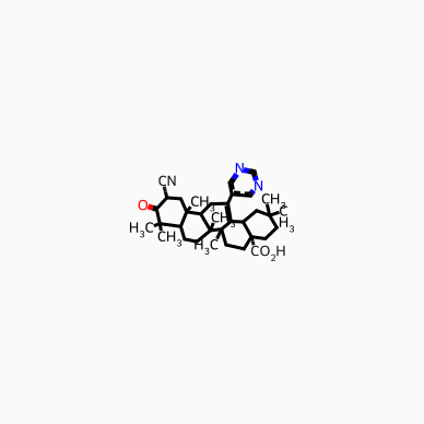 CC1(C)CCC2(C(=O)O)CCC3(C)C(=C(c4cncnc4)CC4C5(C)CC(C#N)C(=O)C(C)(C)C5CCC43C)C2C1